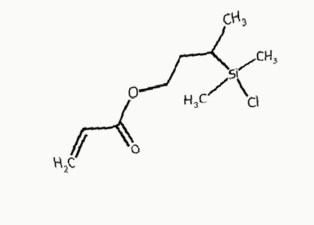 C=CC(=O)OCCC(C)[Si](C)(C)Cl